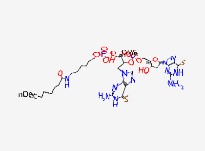 CCCCCCCCCCCCCCCC(=O)NCCCCCCOP(=O)(O)OC[C@@H](OC)C(Cn1cnc2c(=S)[nH]c(N)nc21)OP(O)(=S)OC[C@H]1O[C@@H](n2cnc3c(=S)[nH]c(N)nc32)CC1O